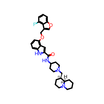 O=C(NC1CCN(C[C@@H]2CCCN3CCCC[C@H]23)CC1)c1cc2c(OCc3coc4cccc(F)c34)cccc2[nH]1